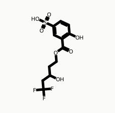 O=C(OCCC(O)CC(F)(F)F)c1cc(S(=O)(=O)O)ccc1O